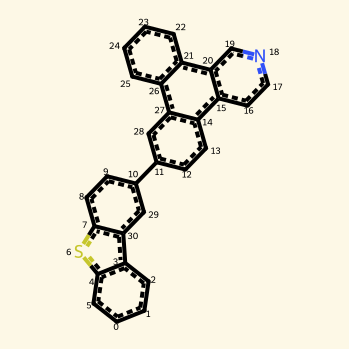 c1ccc2c(c1)sc1ccc(-c3ccc4c5ccncc5c5ccccc5c4c3)cc12